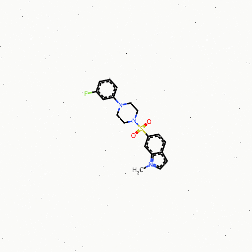 Cn1ccc2ccc(S(=O)(=O)N3CCN(c4c[c]cc(F)c4)CC3)cc21